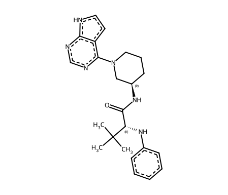 CC(C)(C)[C@@H](Nc1ccccc1)C(=O)N[C@@H]1CCCN(c2ncnc3[nH]ccc23)C1